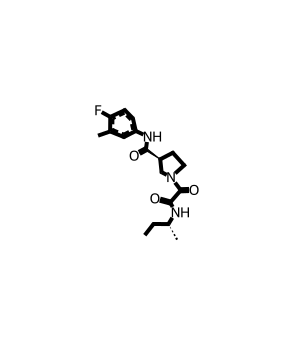 CC[C@@H](C)NC(=O)C(=O)N1CC[C@H](C(=O)Nc2ccc(F)c(C)c2)C1